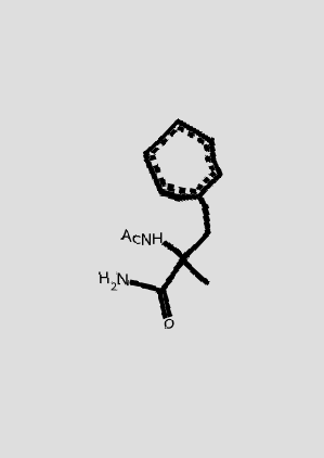 CC(=O)NC(C)(Cc1ccccc1)C(N)=O